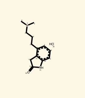 CN(C)CCCc1cccc2c1CC(=O)N2.Cl